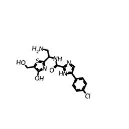 NCC(NC(=O)c1ncc(-c2ccc(Cl)cc2)[nH]1)c1nc(O)c(CO)s1